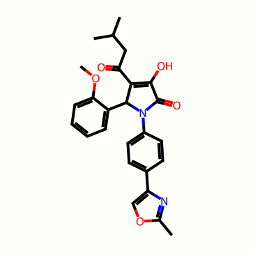 COc1ccccc1C1C(C(=O)CC(C)C)=C(O)C(=O)N1c1ccc(-c2coc(C)n2)cc1